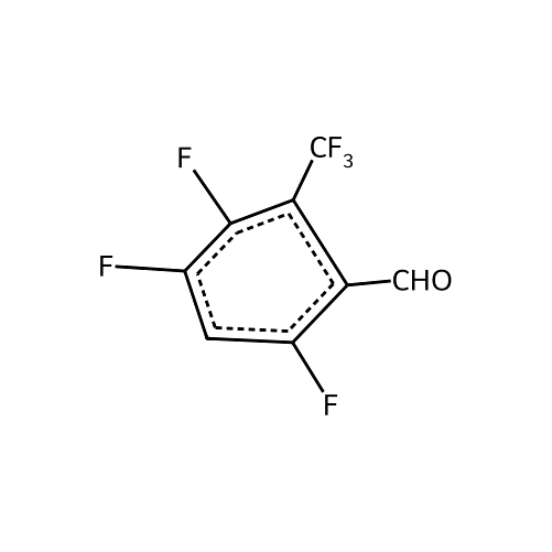 O=Cc1c(F)cc(F)c(F)c1C(F)(F)F